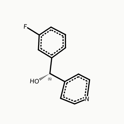 O[C@@H](c1ccncc1)c1cccc(F)c1